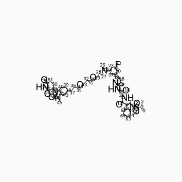 CC(C)S(=O)(=O)n1cc(C(=O)NCC(=O)Nc2nc(-c3cc(F)cc(N(C)CCCOCCCOCCCc4ccc5c(c4)n(C)c(=O)n5C4CCC(=O)NC4=O)c3)cs2)c2ccccc21